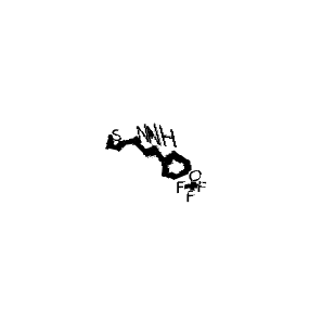 FC(F)(F)Oc1ccc(C2CC(c3cccs3)=NN2)cc1